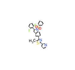 Cc1sc(-c2cccnc2)nc1-c1ccc2c(c1)cc(-c1c(F)cccc1F)n2S(=O)(=O)c1ccccc1